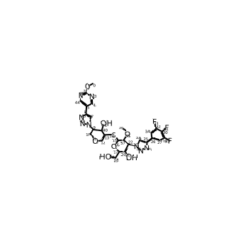 COc1ncc(-c2cn(C3COCC(SC4OC(CO)C(O)C(n5cc(-c6cc(F)c(F)c(F)c6)nn5)C4OC)C3O)nn2)cn1